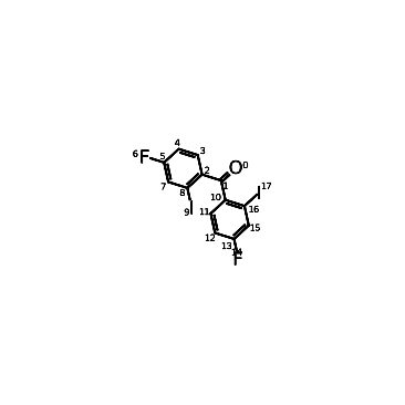 O=C(c1ccc(F)cc1I)c1ccc(F)cc1I